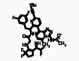 Cc1ccc(-c2ccc(C#CC(C)(C)C)nc2C(Cc2cc(F)cc(F)c2)NC(=O)CNC2=C(C(=N)C(F)F)CCC2(F)F)c2nnc(N[S+](C)[O-])n12